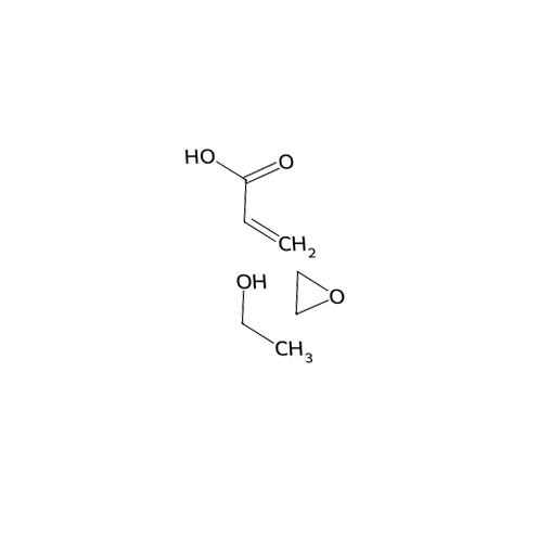 C1CO1.C=CC(=O)O.CCO